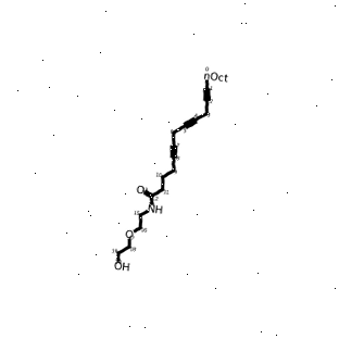 CCCCCCCCC#CCC#CCC#CCCCC(=O)NCCOCCO